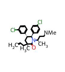 C=CC[C@@]1(C)C[C@H](c2cccc(Cl)c2)[C@@H](c2ccc(Cl)cc2)N([C@@H](C)CCNC)C1=O